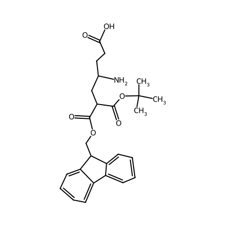 CC(C)(C)OC(=O)C(CC(N)CCC(=O)O)C(=O)OCC1c2ccccc2-c2ccccc21